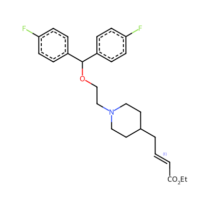 CCOC(=O)/C=C/CC1CCN(CCOC(c2ccc(F)cc2)c2ccc(F)cc2)CC1